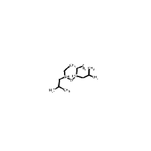 CC[SiH](CC(C)C)O[SiH](CC)CC(C)C